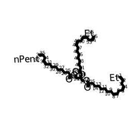 CC/C=C\C/C=C\C/C=C\CCCCCCCC(=O)OCC(COC(=O)CCCCCCC/C=C\C/C=C\CCCCC)OC(=O)CCCCCCC/C=C\C/C=C\C/C=C\CC